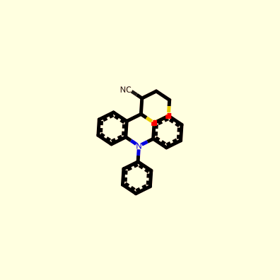 N#CC1CCSSC1c1ccccc1N(c1ccccc1)c1ccccc1